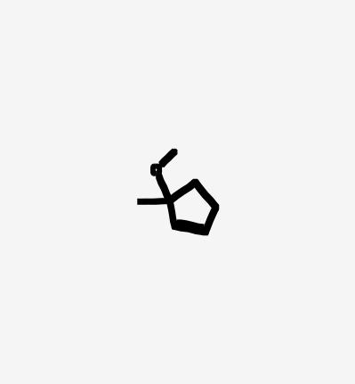 COC1(C)C=CCC1